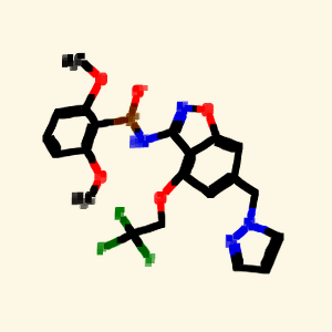 COc1cccc(OC)c1[S+]([O-])Nc1noc2cc(Cn3cccn3)cc(OCC(F)(F)F)c12